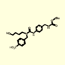 CC(C)(C)OC(=O)NCc1ccc(NC(=O)N(CCCCO)Cc2ccc(C(=O)O)cc2)cc1